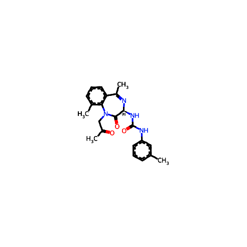 CC(=O)CN1C(=O)[C@H](NC(=O)Nc2cccc(C)c2)N=C(C)c2cccc(C)c21